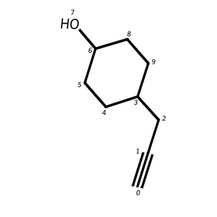 [C]#CCC1CCC(O)CC1